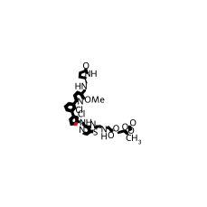 COc1nc(-c2cccc(-c3cccc(Nc4nccc5sc(CNCC(=O)OCc6oc(=O)oc6C)nc45)c3Cl)c2Cl)ccc1CNC[C@H]1CCC(=O)N1